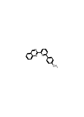 Cc1ccc(-c2cccc(-c3ncc4ccccc4n3)n2)cc1